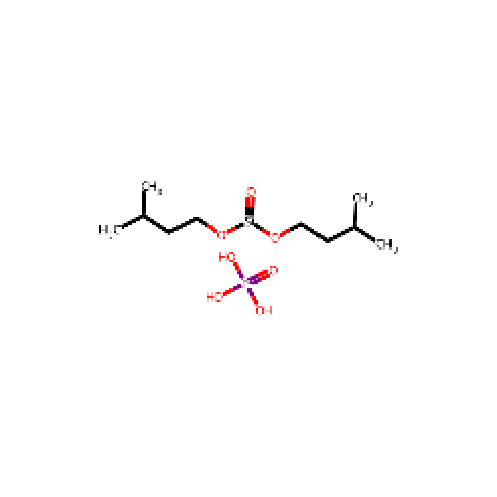 CC(C)CCO[Si](=O)OCCC(C)C.O=P(O)(O)O